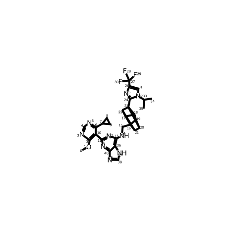 COc1ncnc(C2CC2)c1-c1nc(NCC23C4C5C2C2C3C4C52c2nc(C(F)(F)F)cn2C(C)C)c2[nH]cnc2n1